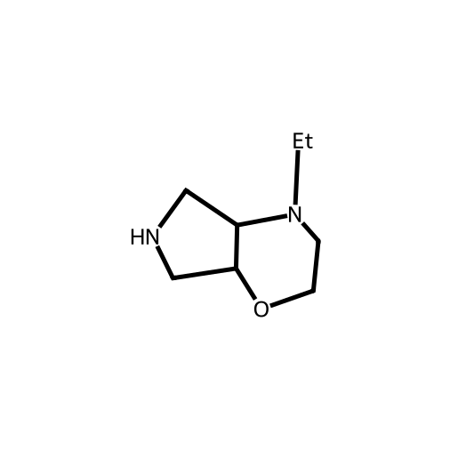 CCN1CCOC2CNCC21